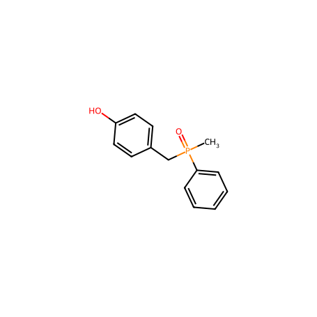 CP(=O)(Cc1ccc(O)cc1)c1ccccc1